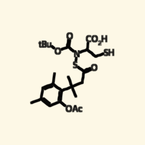 CC(=O)Oc1cc(C)cc(C)c1C(C)(C)CC(=O)SN(C(=O)OC(C)(C)C)C(CS)C(=O)O